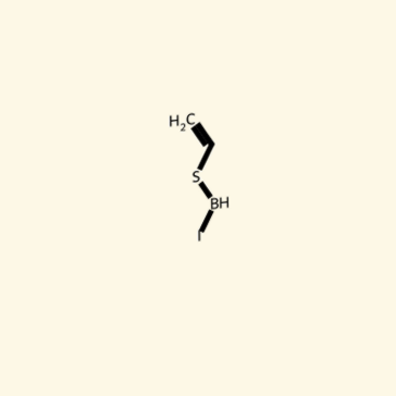 C=CSBI